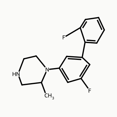 CC1CNCCN1c1cc(F)cc(-c2ccccc2F)c1